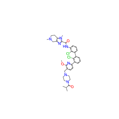 COc1nc(-c2cccc(-c3cccc(NC(=O)c4nc5c(n4C)CCN(C)C5)c3Cl)c2Cl)ccc1CN1CCN(C(=O)C(C)C)CC1